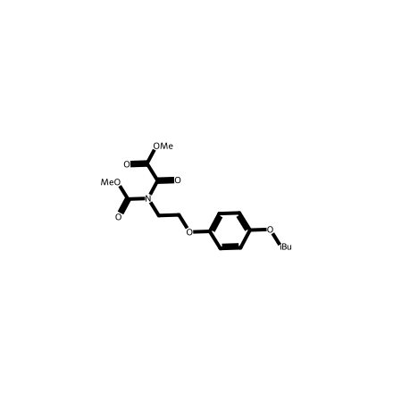 CCC(C)Oc1ccc(OCCN(C(=O)OC)C(=O)C(=O)OC)cc1